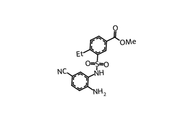 CCc1ccc(C(=O)OC)cc1S(=O)(=O)Nc1cc(C#N)ccc1N